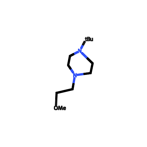 COCCN1CCN(C(C)(C)C)CC1